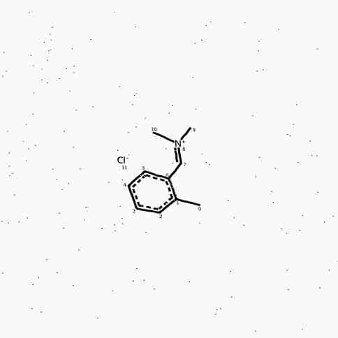 Cc1ccccc1C=[N+](C)C.[Cl-]